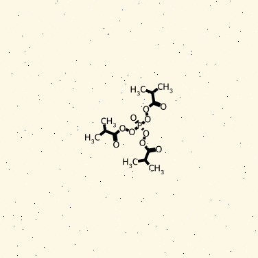 CC(C)C(=O)OOP(=O)(OOC(=O)C(C)C)OOC(=O)C(C)C